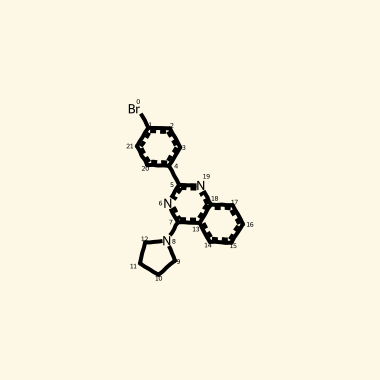 Brc1ccc(-c2nc(N3CCCC3)c3ccccc3n2)cc1